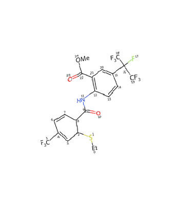 CCSC1C=C(C(F)(F)F)C=CC1C(=O)Nc1ccc(C(F)(C(F)(F)F)C(F)(F)F)cc1C(=O)OC